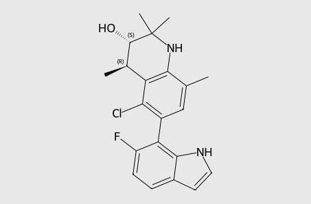 Cc1cc(-c2c(F)ccc3cc[nH]c23)c(Cl)c2c1NC(C)(C)[C@@H](O)[C@@H]2C